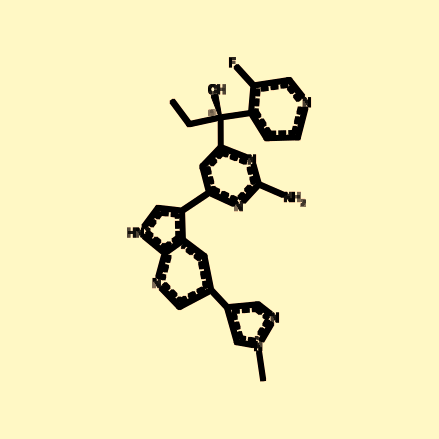 CC[C@@](O)(c1cc(-c2c[nH]c3ncc(-c4cnn(C)c4)cc23)nc(N)n1)c1ccncc1F